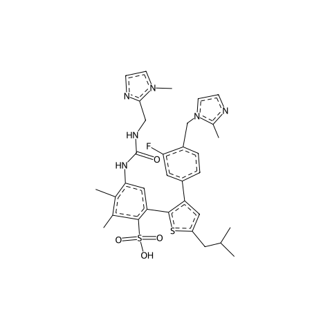 Cc1c(NC(=O)NCc2nccn2C)cc(-c2sc(CC(C)C)cc2-c2ccc(Cn3ccnc3C)c(F)c2)c(S(=O)(=O)O)c1C